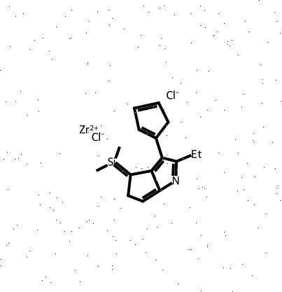 CCC1=NC2=CCC(=[Si](C)C)C2=C1C1=CC=CC1.[Cl-].[Cl-].[Zr+2]